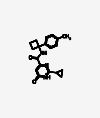 Cc1ccc(C2(NC(=O)c3cc(=O)[nH]c(C4CC4)n3)CCC2)cc1